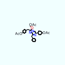 CC(=O)OCOc1c(Cc2ccc(OC(C)=O)cc2)nc2c(Cc3ccccc3)nc(-c3ccc(OC(C)=O)cc3)cn12